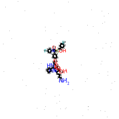 NCCCC[C@@H](NC(=O)[C@H](NC(=O)COc1ccc([C@@H]2[C@@H](SCC(O)c3ccc(F)cc3)C(=O)N2c2ccc(F)cc2)cc1)c1ccccc1)C(=O)O